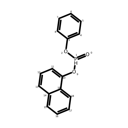 O=[PH](Oc1ccccc1)Oc1cccc2ccccc12